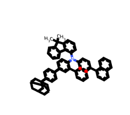 CC1(C)c2ccccc2-c2c(N(c3ccc(-c4cccc5ccccc45)cc3)c3ccc(-c4ccc(C56CC7CC(CC(C7)C5)C6)cc4)cc3-c3ccccc3)cccc21